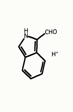 O=Cc1[nH]cc2ccccc12.[H+]